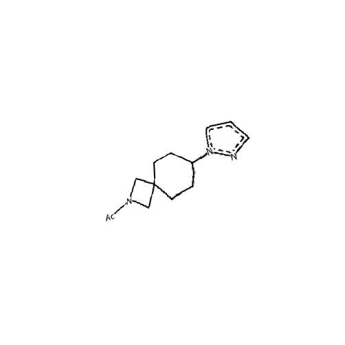 CC(=O)N1CC2(CCC(n3c[c]cn3)CC2)C1